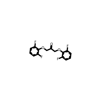 O=C(COc1c(F)cccc1F)COc1c(F)cccc1F